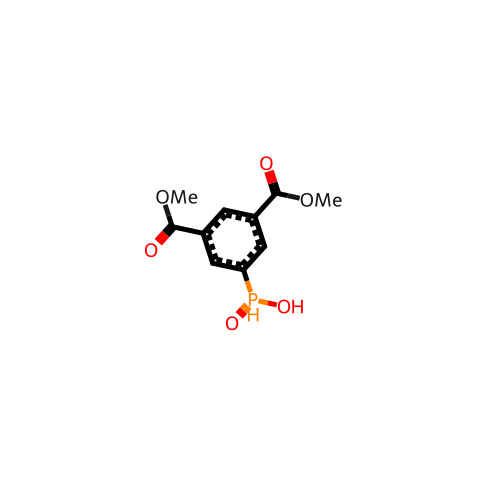 COC(=O)c1cc(C(=O)OC)cc([PH](=O)O)c1